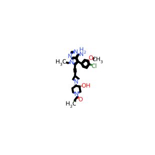 C=CC(=O)N1CC[C@H](N2CC(C#Cc3c(-c4ccc(Cl)c(OC)c4)c4c(N)ncnc4n3CC)C2)[C@H](O)C1